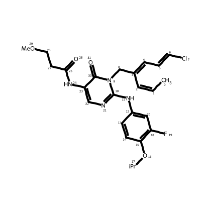 C\C=C/C(=C\C=C\Cl)Cn1c(Nc2ccc(OC(C)C)c(F)c2)ncc(NC(=O)CCOC)c1=O